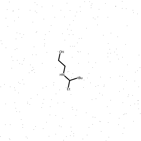 CCC(NCCO)C(C)(C)C